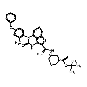 C=C(N[C@@H]1CCCN(C(=O)OC(C)(C)C)C1)c1sc2nccc3c2c1NC(=O)N3c1ccc(Oc2ccccc2)nc1C